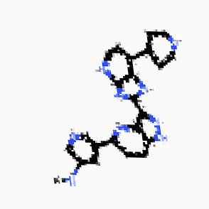 CC(C)Nc1cncc(-c2ccc3[nH]nc(-c4nc5c(-c6ccncc6)ccnc5[nH]4)c3n2)c1